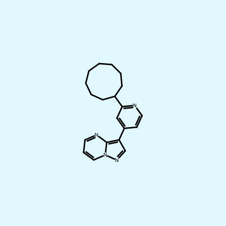 c1cnc2c(-c3ccnc(C4CCCCCCCC4)c3)cnn2c1